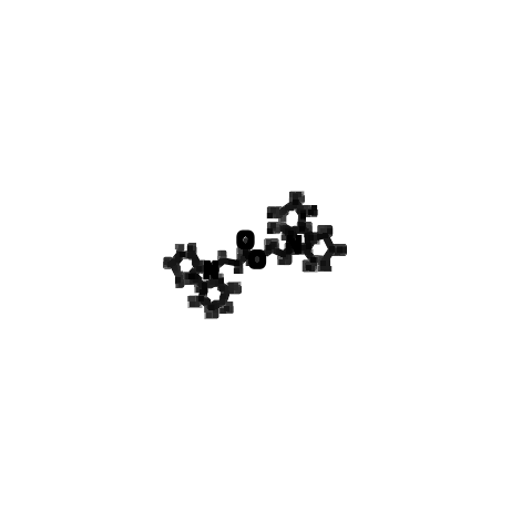 O=C(CCn1c2ccccc2c2ccccc21)OCCn1c2c(c3ccccc31)CCC=C2